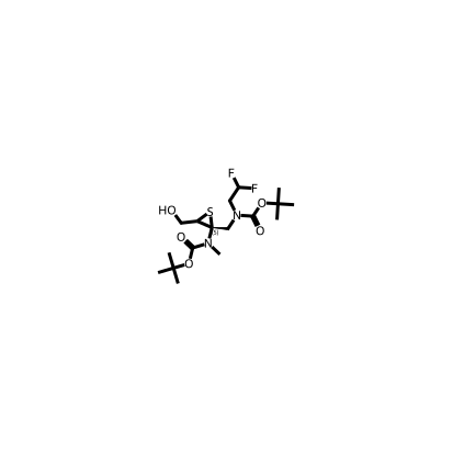 CN(C(=O)OC(C)(C)C)[C@@]1(CN(CC(F)F)C(=O)OC(C)(C)C)SC1CO